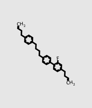 C=CCCc1ccc(CCCCc2ccc(-c3ccc(CCC=C)cc3F)cc2)cc1